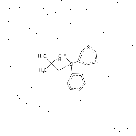 CC(C)(C)C[Si](F)(c1ccccc1)c1ccccc1